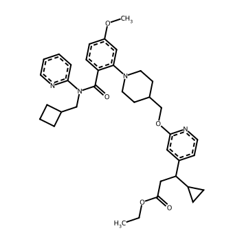 CCOC(=O)CC(c1ccnc(OCC2CCN(c3cc(OC)ccc3C(=O)N(CC3CCC3)c3ccccn3)CC2)c1)C1CC1